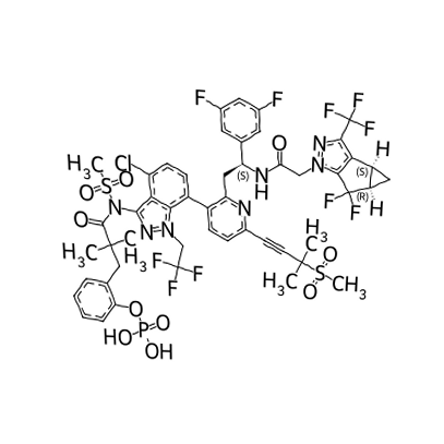 CC(C)(Cc1ccccc1OP(=O)(O)O)C(=O)N(c1nn(CC(F)(F)F)c2c(-c3ccc(C#CC(C)(C)S(C)(=O)=O)nc3C[C@H](NC(=O)Cn3nc(C(F)(F)F)c4c3C(F)(F)[C@@H]3C[C@H]43)c3cc(F)cc(F)c3)ccc(Cl)c12)S(C)(=O)=O